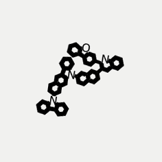 c1ccc2nc(-c3ccc4c(c3)oc3ccccc34)c(-c3ccc4ccc(-n5c6ccccc6c6cc7ccc(-n8c9ccccc9c9ccccc98)cc7cc65)cc4c3)cc2c1